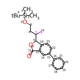 CC(C)(C)[Si](C)(C)OCCC(I)C1OC(=O)c2cc(-c3ccccc3)ccc21